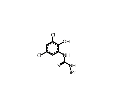 CC(C)NC(=S)Nc1cc(Cl)cc(Cl)c1O